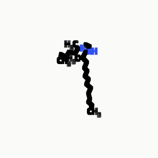 CCCCCCCCCCCCC(C)c1[nH]cc[n+]1C(C)CCCCC